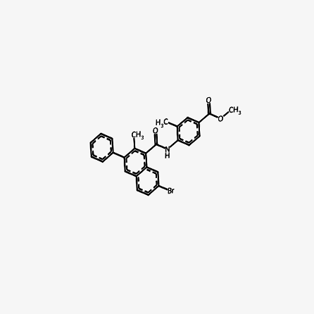 COC(=O)c1ccc(NC(=O)c2c(C)c(-c3ccccc3)cc3ccc(Br)cc23)c(C)c1